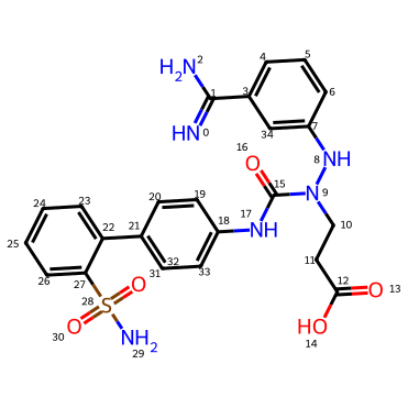 N=C(N)c1cccc(NN(CCC(=O)O)C(=O)Nc2ccc(-c3ccccc3S(N)(=O)=O)cc2)c1